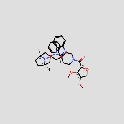 CO[C@@H]1[C@@H](OC)CO[C@@H]1C(=O)N1CCC(CCN2[C@@H]3CC[C@H]2CC(n2c(C)nc4ccccc42)C3)(c2ccccc2)CC1